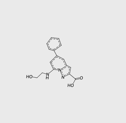 O=C(O)c1cc2cc(-c3ccccc3)cc(NCCO)n2n1